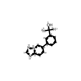 [2H]C([2H])(O)c1cccc(-c2ccc3ncnn3c2)c1